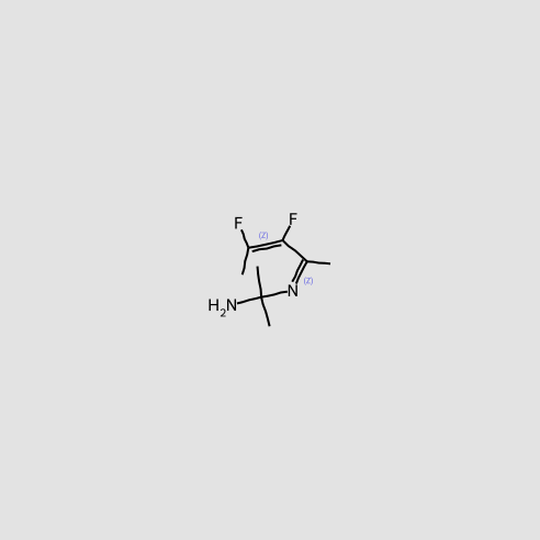 CC(=N/C(C)(C)N)/C(F)=C(\C)F